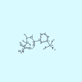 CC(OC(=O)c1cccc(C(F)(F)F)c1)C(C)(C)S(N)(=O)=O